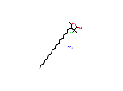 CCCCCCCCCCCCCCCCC(C(C)O)C(C)(Cl)C(C)O.N